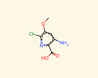 COc1cc(N)c(C(=O)O)nc1Cl